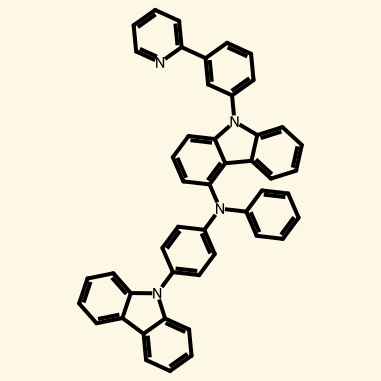 c1ccc(N(c2ccc(-n3c4ccccc4c4ccccc43)cc2)c2cccc3c2c2ccccc2n3-c2cccc(-c3ccccn3)c2)cc1